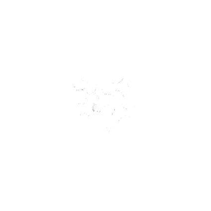 CCOC(=O)C1N(c2cccc(Cl)c2)C(c2ccccc2)=NC12C(=O)N(C(C)=O)c1ccccc12